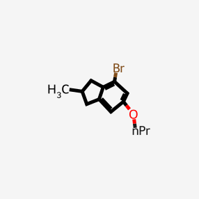 CCCOc1cc(Br)c2c(c1)CC(C)C2